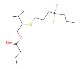 CCCC(=O)OCC(SCCCC(F)(F)CCC)C(C)C